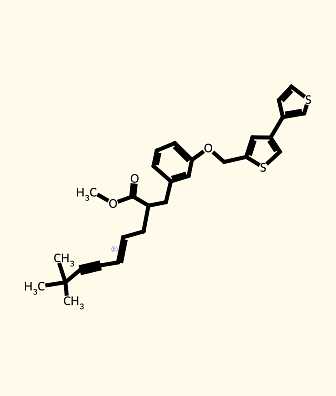 COC(=O)C(C/C=C/C#CC(C)(C)C)Cc1cccc(OCc2cc(-c3ccsc3)cs2)c1